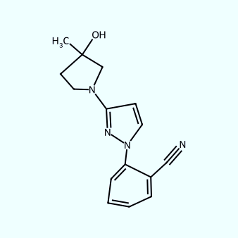 CC1(O)CCN(c2ccn(-c3ccccc3C#N)n2)C1